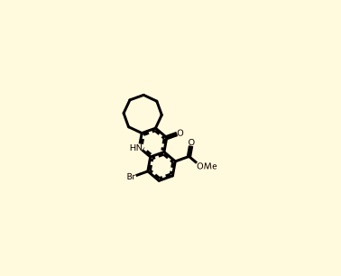 COC(=O)c1ccc(Br)c2[nH]c3c(c(=O)c12)CCCCCC3